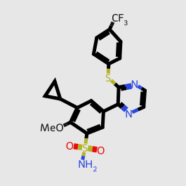 COc1c(C2CC2)cc(-c2nccnc2Sc2ccc(C(F)(F)F)cc2)cc1S(N)(=O)=O